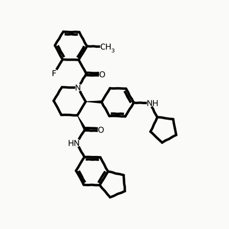 Cc1cccc(F)c1C(=O)N1CCC[C@H](C(=O)Nc2ccc3c(c2)CCC3)[C@@H]1C1C=CC(NC2CCCC2)=CC1